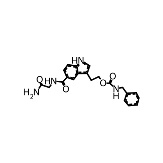 NC(=O)CNC(=O)c1ccc2[nH]cc(CCOC(=O)NCc3ccccc3)c2c1